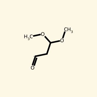 COC(C[C]=O)OC